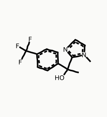 Cn1ccnc1C(C)(O)c1ccc(C(F)(F)F)cc1